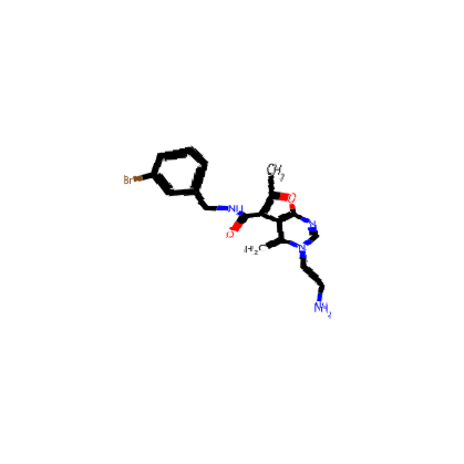 C=C1c2c(oc(C)c2C(=O)NCc2cccc(Br)c2)N=CN1CCN